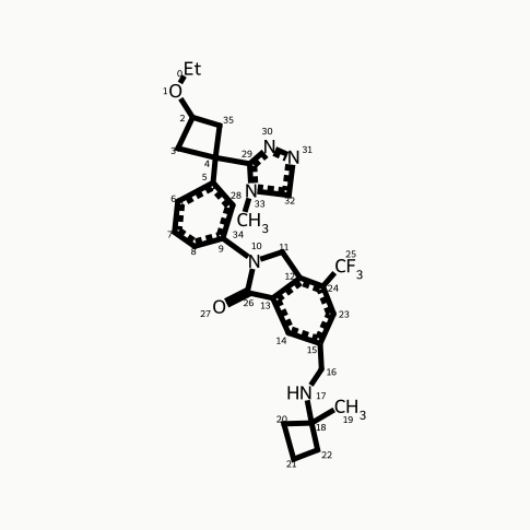 CCOC1CC(c2cccc(N3Cc4c(cc(CNC5(C)CCC5)cc4C(F)(F)F)C3=O)c2)(c2nncn2C)C1